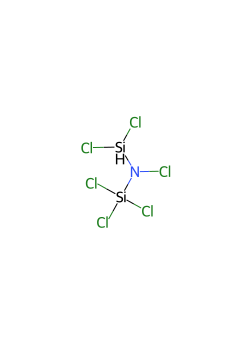 ClN([SiH](Cl)Cl)[Si](Cl)(Cl)Cl